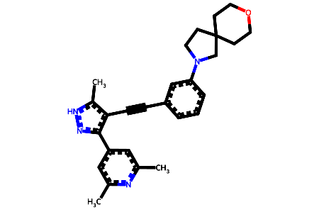 Cc1cc(-c2n[nH]c(C)c2C#Cc2cccc(N3CCC4(CCOCC4)C3)c2)cc(C)n1